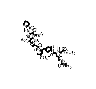 CCCN(C(=O)[C@@H](NC(=O)[C@H]1CCCCN1C)[C@@H](C)CC)[C@H](C[C@@H](OC(C)=O)c1nc(C(=O)N[C@@H](Cc2ccc(NC(=O)[C@H](CCCNC(N)=O)NC(=O)[C@@H](NC(C)=O)C(C)C)cc2)C[C@H](C)C(=O)O)cs1)C(C)C